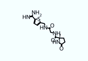 C[C@@]1(C(=O)NCC(=O)NCc2ccc(C(=N)N)s2)CCC(=O)N1